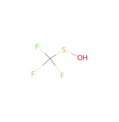 OSC(F)(F)F